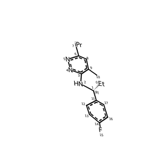 CC[C@@H](Nc1nnc(C(C)C)cc1C)c1ccc(F)cc1